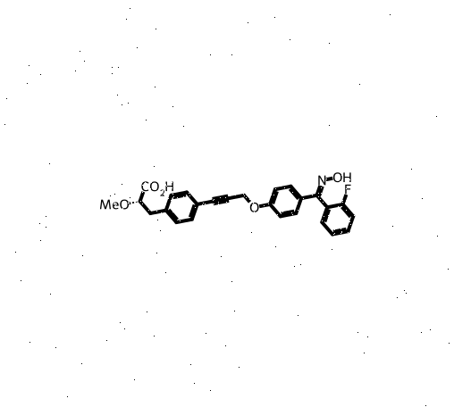 CO[C@@H](Cc1ccc(C#CCOc2ccc(C(=NO)c3ccccc3F)cc2)cc1)C(=O)O